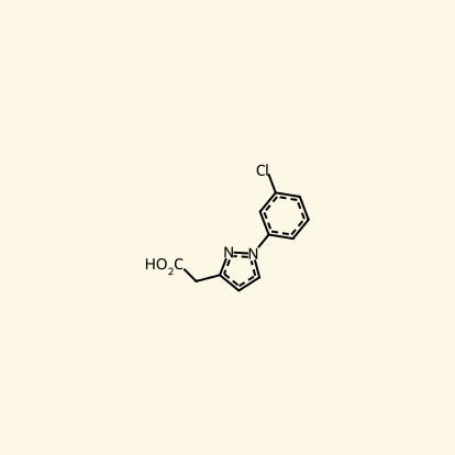 O=C(O)Cc1ccn(-c2cccc(Cl)c2)n1